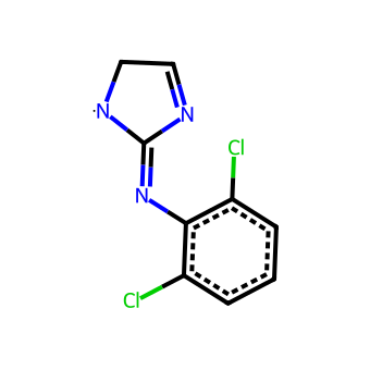 Clc1cccc(Cl)c1N=C1[N]CC=N1